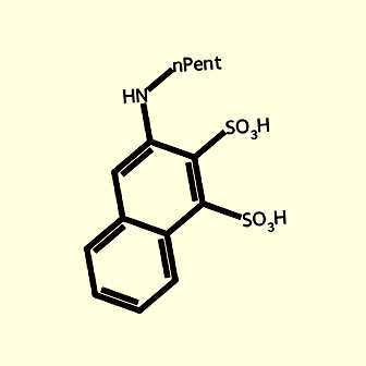 CCCCCNc1cc2ccccc2c(S(=O)(=O)O)c1S(=O)(=O)O